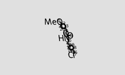 COc1ccc(COC(=O)NCCc2ccc(CCl)cc2)cc1